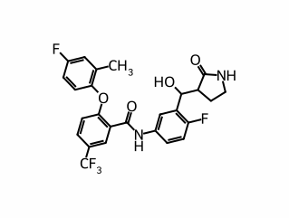 Cc1cc(F)ccc1Oc1ccc(C(F)(F)F)cc1C(=O)Nc1ccc(F)c(C(O)C2CCNC2=O)c1